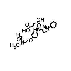 CCN(CC)CCOc1ccc(NC2=NN(c3ccccc3)CC2)cc1.O=C(O)C=CC(=O)O